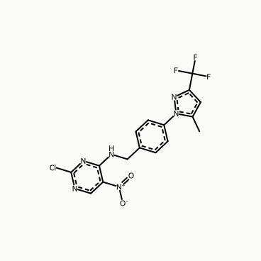 Cc1cc(C(F)(F)F)nn1-c1ccc(CNc2nc(Cl)ncc2[N+](=O)[O-])cc1